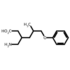 CC(COc1ccccc1)CC(CN)CC(=O)O